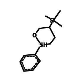 C[Si](C)(C)C1CC[SiH](c2ccccc2)OC1